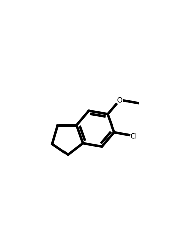 COc1cc2c(cc1Cl)CCC2